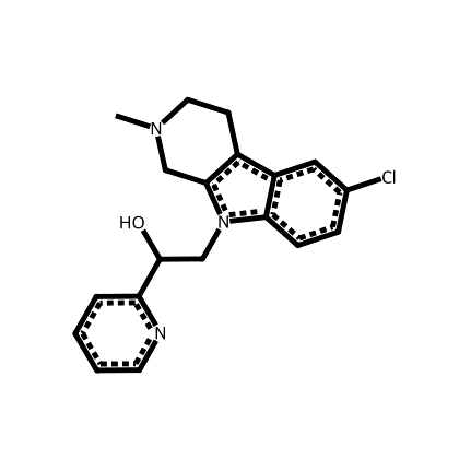 CN1CCc2c(n(CC(O)c3ccccn3)c3ccc(Cl)cc23)C1